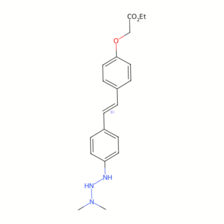 CCOC(=O)COc1ccc(/C=C/c2ccc(NNN(C)C)cc2)cc1